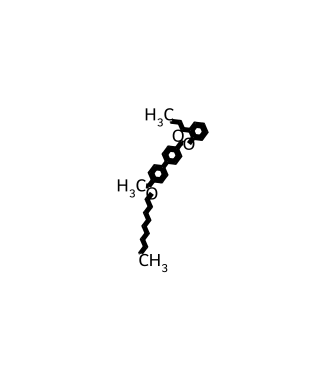 CCCCCCCCCCOC(C)c1ccc(-c2ccc(C(=O)Oc3ccccc3CCCC)cc2)cc1